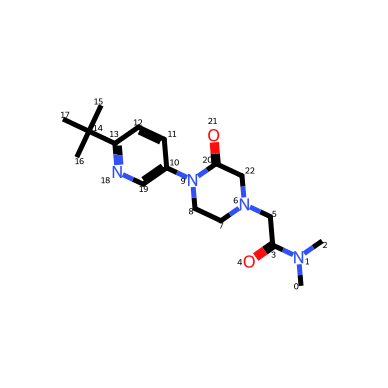 CN(C)C(=O)CN1CCN(c2ccc(C(C)(C)C)nc2)C(=O)C1